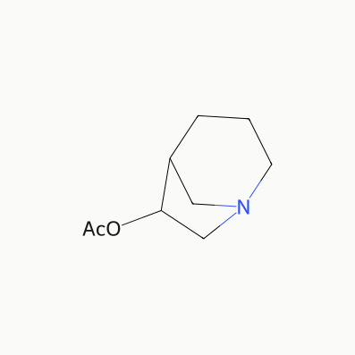 CC(=O)OC1CN2CCCC1C2